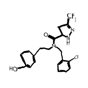 O=C(C1CC(C(F)(F)F)=NN1)N(CCc1ccc(O)cc1)Cc1ccccc1Cl